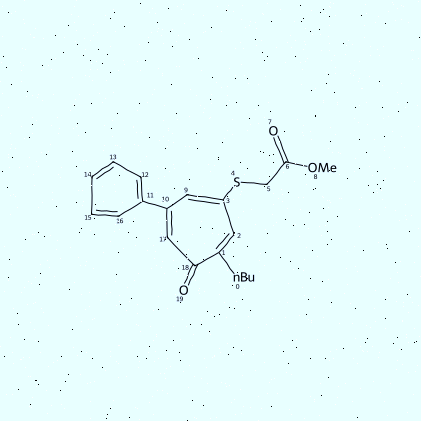 CCCCc1cc(SCC(=O)OC)cc(-c2ccccc2)cc1=O